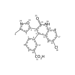 Cc1cc(-c2c(-c3cccc(C(=O)O)c3)c3cc(Cl)ccc3[nH]c2=O)on1